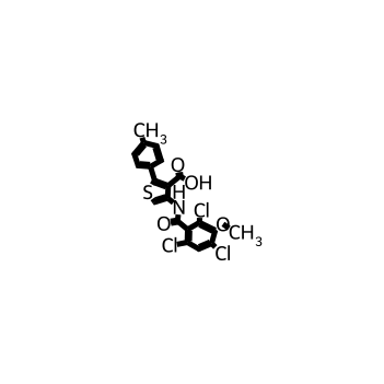 COc1c(Cl)cc(Cl)c(C(=O)Nc2csc(-c3ccc(C)cc3)c2C(=O)O)c1Cl